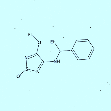 CCOc1n[s+]([O-])nc1NC(CC)c1ccccc1